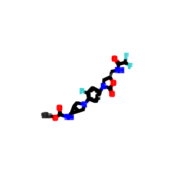 CC(C)(C)OC(=O)NC1C2CN(c3ccc(N4C[C@H](CNC(=O)C(F)F)OC4=O)cc3F)CC21